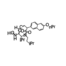 C=CC(c1ccc2cc(OCCC)ccc2c1)S(=O)(=O)N(CCC(C)C)C(C(=O)NO)C(C)C